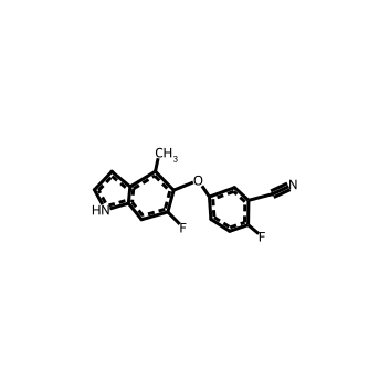 Cc1c(Oc2ccc(F)c(C#N)c2)c(F)cc2[nH]ccc12